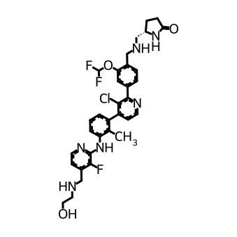 Cc1c(Nc2nccc(CNCCO)c2F)cccc1-c1ccnc(-c2ccc(CNC[C@@H]3CCC(=O)N3)c(OC(F)F)c2)c1Cl